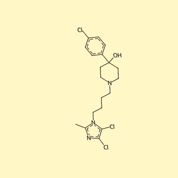 Cc1nc(Cl)c(Cl)n1CCCCN1CCC(O)(c2ccc(Cl)cc2)CC1